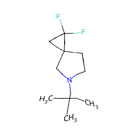 CC(C)(C)N1CCC2(C1)CC2(F)F